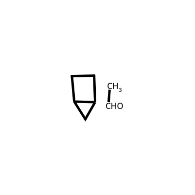 C1CC2CC12.CC=O